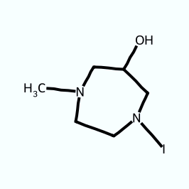 CN1CCN(I)CC(O)C1